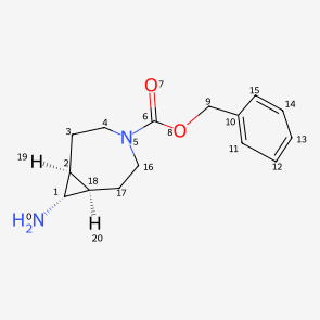 N[C@@H]1[C@H]2CCN(C(=O)OCc3ccccc3)CC[C@@H]12